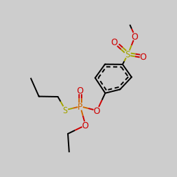 CCCSP(=O)(OCC)Oc1ccc(S(=O)(=O)OC)cc1